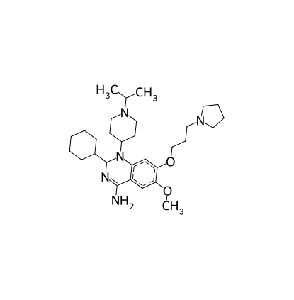 COc1cc2c(cc1OCCCN1CCCC1)N(C1CCN(C(C)C)CC1)C(C1CCCCC1)N=C2N